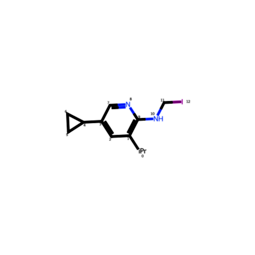 CC(C)c1cc(C2CC2)cnc1NCI